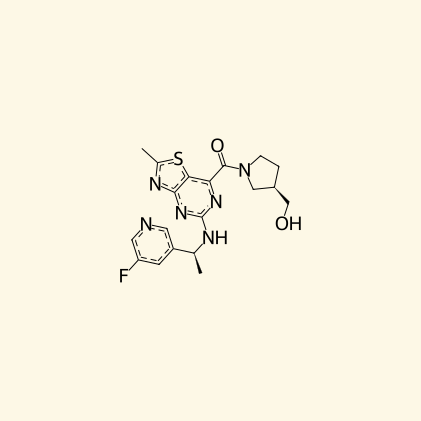 Cc1nc2nc(N[C@@H](C)c3cncc(F)c3)nc(C(=O)N3CC[C@@H](CO)C3)c2s1